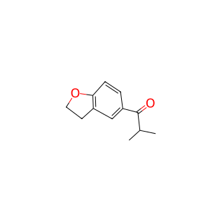 CC(C)C(=O)c1ccc2c(c1)CCO2